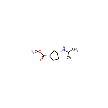 COC(=O)[C@@H]1CC[C@@H](NC(C)C)C1